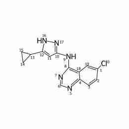 Clc1ccc2n[c]nc(Nc3cc(C4CC4)[nH]n3)c2c1